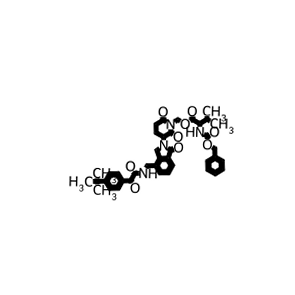 CC(C)C(NC(=O)OCc1ccccc1)C(=O)OCN1C(=O)CCC(N2Cc3c(CNC(=O)C(=O)c4ccc(C(C)(C)C)cc4)cccc3C2=O)C1=O